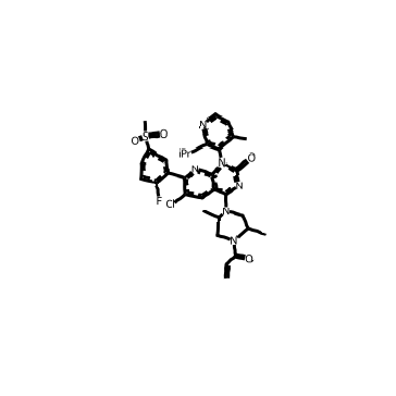 C=CC(=O)N1CC(C)N(c2nc(=O)n(-c3c(C)ccnc3C(C)C)c3nc(-c4cc(S(C)(=O)=O)ccc4F)c(Cl)cc23)CC1C